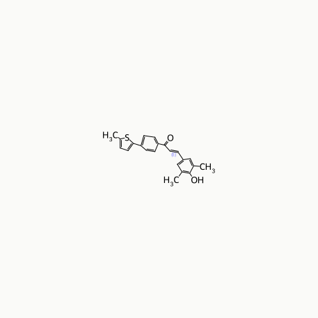 Cc1ccc(-c2ccc(C(=O)/C=C/c3cc(C)c(O)c(C)c3)cc2)s1